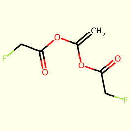 C=C(OC(=O)CF)OC(=O)CF